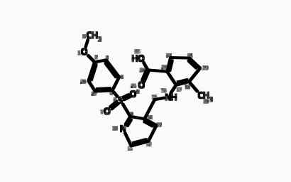 COc1ccc(S(=O)(=O)c2ncccc2CNc2c(C)cccc2C(=O)O)cc1